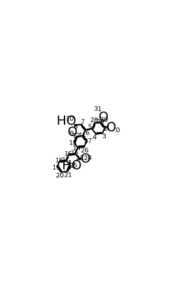 COc1ccc(C(=CC(=O)O)c2ccc(C(=Cc3ccccc3)C(=O)O)cc2)cc1OC